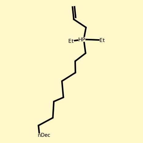 C=CC[PH](CC)(CC)CCCCCCCCCCCCCCCCCC